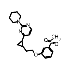 CS(=O)(=O)c1cccc(OCCC2CC2c2ccnc(N3CCCCC3)n2)c1